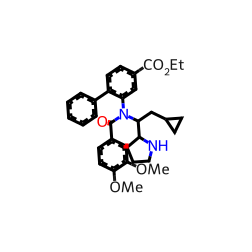 CCOC(=O)c1ccc(-c2ccccc2)c(N(C(=O)c2ccc(OC)c(OC)c2)C(CC2CC2)C2CCCN2)c1